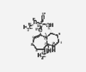 CNC12CCCC=CN1CCCN2.COS(=O)(=O)O